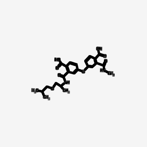 CNC(=O)c1cc(Oc2ccc(C(=O)O)c(C(=O)NC(C)COCC(C)C)c2)ccc1C(=O)O